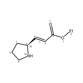 CCOC(=O)/C=C/[C@@H]1CCCN1